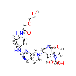 COCCOCC(=O)Nc1ccc(Nc2ncc3c(n2)CN(c2cnc4c(c2C)N(C(=O)O)CCO4)CC3)cc1C